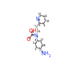 Nc1ccc(N(CCc2ccccn2)C(=O)O)cc1